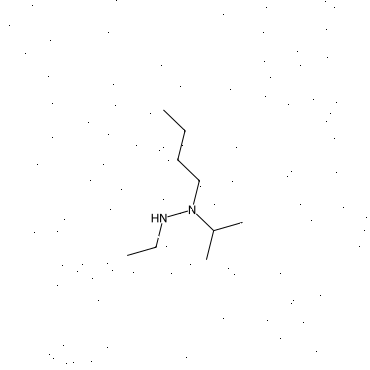 CCCCN(NCC)C(C)C